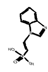 O=P(O)(O)C=Cn1cnc2ccccc21